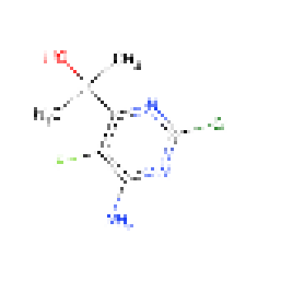 CC(C)(O)c1nc(Cl)nc(N)c1F